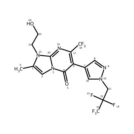 Cc1cn2c(=O)c(-c3cnn(CC(F)(F)C(F)(F)F)c3)c(C(F)(F)F)nc2n1CCO